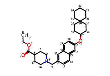 CCOC(=O)C1CCN(Cc2ccc3cc(OC4CCC5(CCCCC5)CC4)ccc3c2)CC1